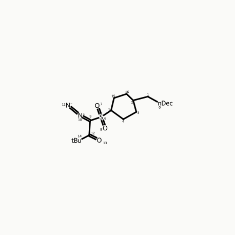 CCCCCCCCCCCC1CCC(S(=O)(=O)C(=[N+]=[N-])C(=O)C(C)(C)C)CC1